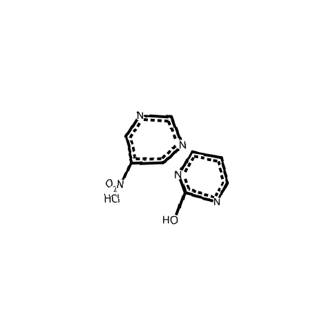 Cl.O=[N+]([O-])c1cncnc1.Oc1ncccn1